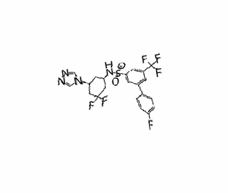 O=S(=O)(N[C@@H]1C[C@H](n2cnnc2)CC(F)(F)C1)c1cc(-c2ccc(F)cc2)cc(C(F)(F)F)c1